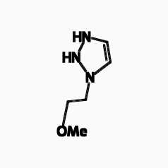 COCCN1C=CNN1